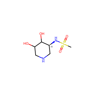 CS(=O)(=O)N[C@H]1CNCC(O)C1O